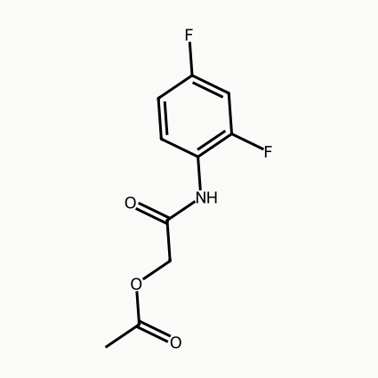 CC(=O)OCC(=O)Nc1ccc(F)cc1F